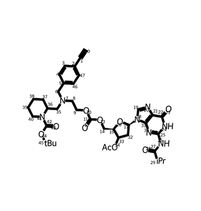 C#Cc1ccc(CN(CCOC(=O)OC[C@H]2O[C@@H](n3cnc4c(=O)[nH]c(NC(=O)C(C)C)nc43)CC2OC(C)=O)CC2CCCCN2C(=O)OC(C)(C)C)cc1